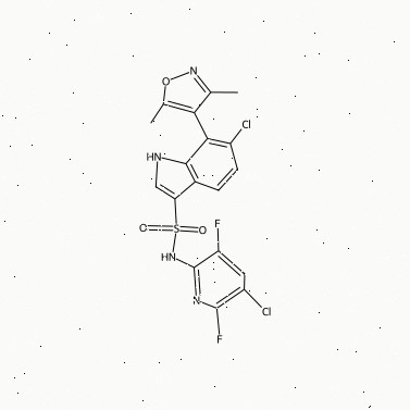 Cc1noc(C)c1-c1c(Cl)ccc2c(S(=O)(=O)Nc3nc(F)c(Cl)cc3F)c[nH]c12